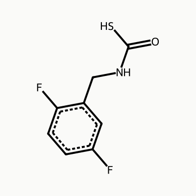 O=C(S)NCc1cc(F)ccc1F